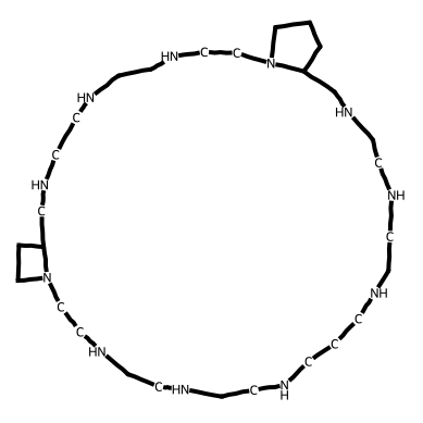 C1CNCCNCCNCCN2CCC2CNCCNCCNCCN2CCCC2CNCCNCCNC1